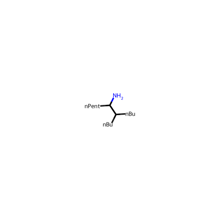 CCCCCC(N)C(CCCC)CCCC